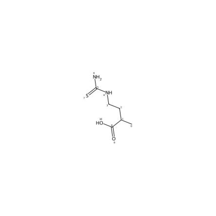 CC(CCNC(N)=S)C(=O)O